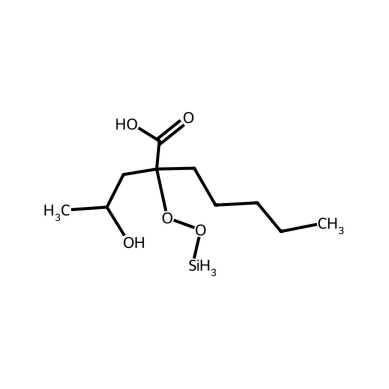 CCCCCC(CC(C)O)(OO[SiH3])C(=O)O